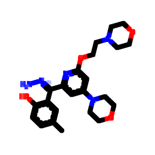 Cc1ccc(O)c(/C(=N\N)c2cc(N3CCOCC3)cc(OCCN3CCOCC3)n2)c1